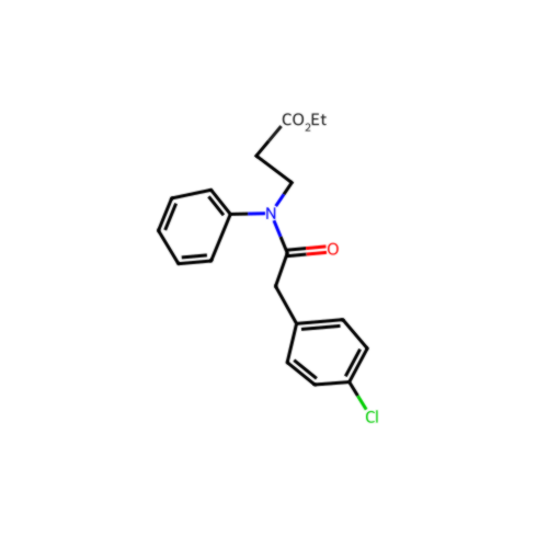 CCOC(=O)CCN(C(=O)Cc1ccc(Cl)cc1)c1ccccc1